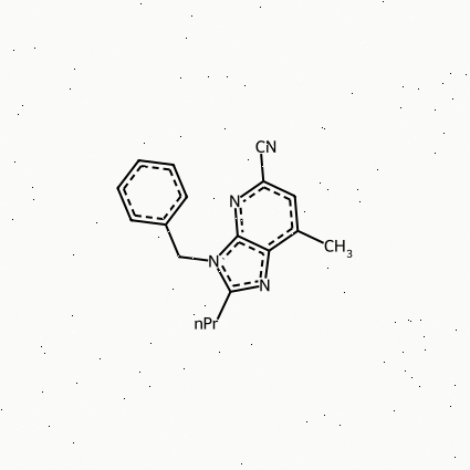 CCCc1nc2c(C)cc(C#N)nc2n1Cc1ccccc1